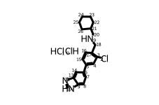 Cl.Cl.Clc1cc(-c2ccc3[nH]cnc3c2)ccc1CNCC1CCCCC1